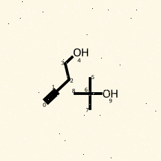 C#CCCO.CC(C)(C)O